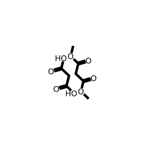 COC(=O)CC(=O)OC.O=C(O)CC(=O)O